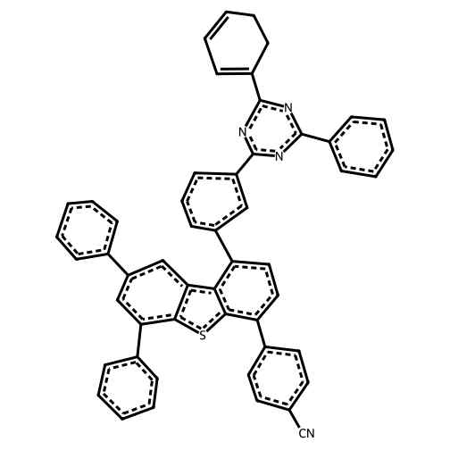 N#Cc1ccc(-c2ccc(-c3cccc(-c4nc(C5=CC=CCC5)nc(-c5ccccc5)n4)c3)c3c2sc2c(-c4ccccc4)cc(-c4ccccc4)cc23)cc1